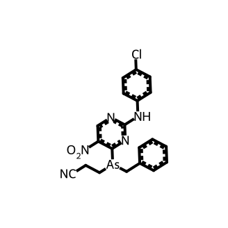 N#CCC[As](Cc1ccccc1)c1nc(Nc2ccc(Cl)cc2)ncc1[N+](=O)[O-]